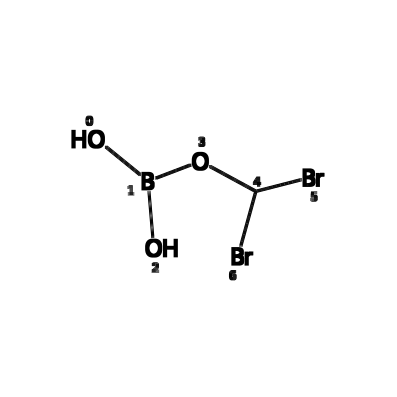 OB(O)OC(Br)Br